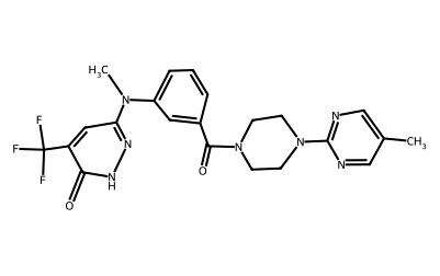 Cc1cnc(N2CCN(C(=O)c3cccc(N(C)c4cc(C(F)(F)F)c(=O)[nH]n4)c3)CC2)nc1